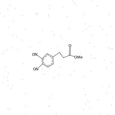 COC(=O)CCc1ccc(N=O)c(N=O)c1